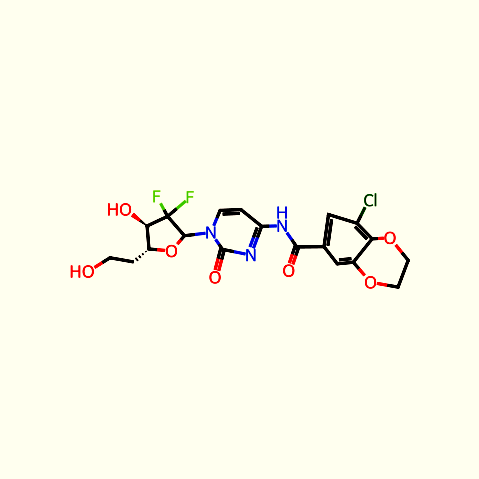 O=C(Nc1ccn(C2O[C@H](CCO)[C@@H](O)C2(F)F)c(=O)n1)c1cc(Cl)c2c(c1)OCCO2